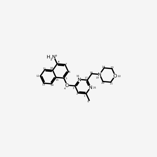 Cc1cc(Oc2ccc(N)c3ccccc23)nc(CN2CCOCC2)n1